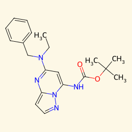 CCN(Cc1ccccc1)c1cc(NC(=O)OC(C)(C)C)n2nccc2n1